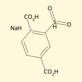 O=C(O)c1ccc(C(=O)O)c([SH](=O)=O)c1.[NaH]